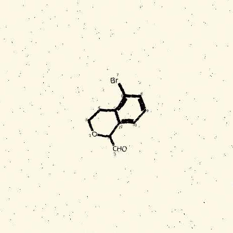 O=CC1OCCc2c(Br)cccc21